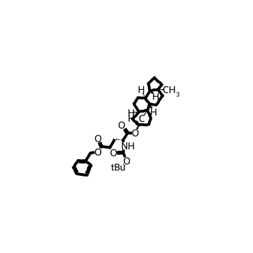 CC(C)(C)OC(=O)N[C@H](CCC(=O)OCc1ccccc1)C(=O)O[C@@H]1CC[C@@]2(C)[C@H](CC[C@H]3[C@@H]4CCC[C@@]4(C)CC[C@@H]32)C1